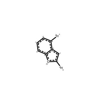 [2H]c1cc2c([2H])cccc2o1